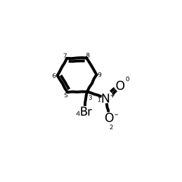 O=[N+]([O-])C1(Br)C=CC=CC1